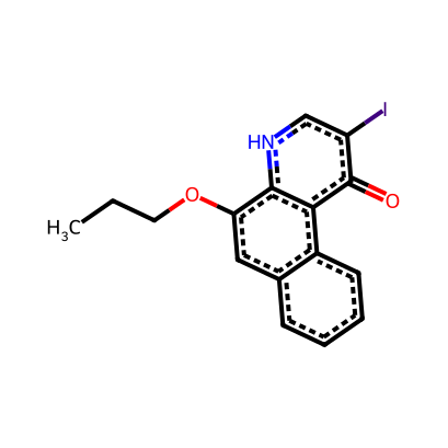 CCCOc1cc2ccccc2c2c(=O)c(I)c[nH]c12